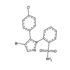 NS(=O)(=O)c1ccccc1-n1ncc(Br)c1-c1ccc(Cl)cc1